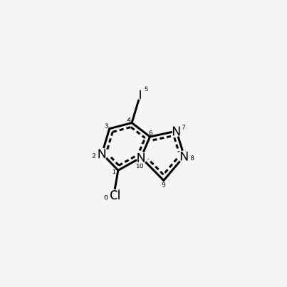 Clc1ncc(I)c2nncn12